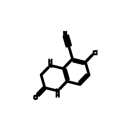 N#Cc1c(Cl)ccc2c1NCC(=O)N2